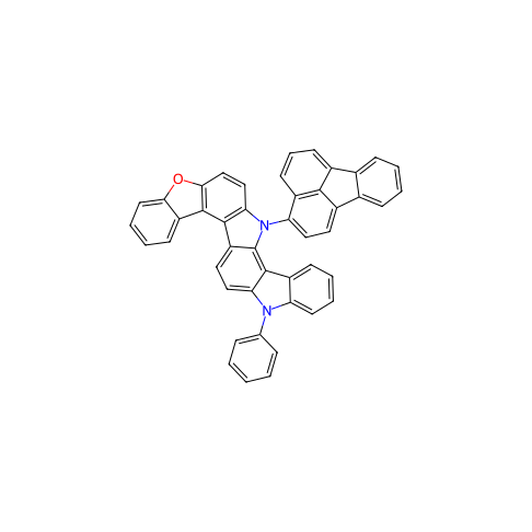 c1ccc(-n2c3ccccc3c3c2ccc2c4c5c(ccc4n(-c4ccc6c7c(cccc47)-c4ccccc4-6)c23)oc2ccccc25)cc1